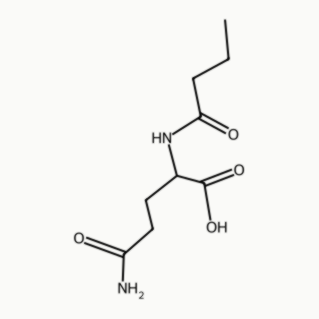 CCCC(=O)NC(CCC(N)=O)C(=O)O